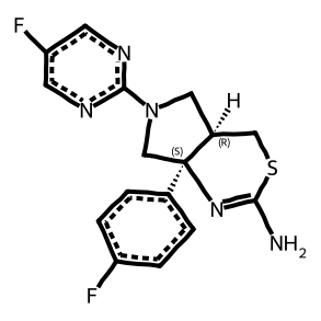 NC1=N[C@@]2(c3ccc(F)cc3)CN(c3ncc(F)cn3)C[C@H]2CS1